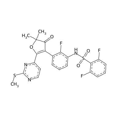 CSc1nccc(C2=C(c3cccc(NS(=O)(=O)c4c(F)cccc4F)c3F)C(=O)C(C)(C)O2)n1